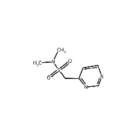 CN(C)S(=O)(=O)Cc1ccncn1